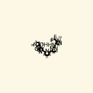 CN1CC[C@@](O)(c2cc(-c3cccc(-c4ccnc(Nc5cnn(C)c5C(F)F)n4)n3)no2)C1=O